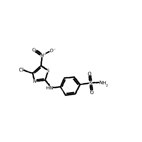 NS(=O)(=O)c1ccc(Nc2nc(Cl)c([N+](=O)[O-])s2)cc1